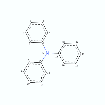 [c]1ccccc1N(c1[c]cccc1)c1ccccc1